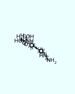 C[C@@H](O)[C@H](NC(=O)c1ccc(C#Cc2ccc(CNCCN)cc2)cc1)C(=O)NO